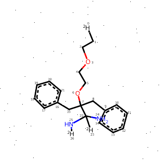 [2H]CCOCCOC(Cc1ccccc1)(Cc1ccccc1)C([2H])(N)N[2H]